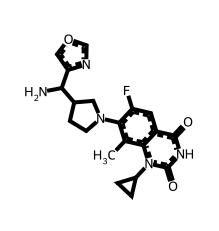 Cc1c(N2CCC(C(N)c3cocn3)C2)c(F)cc2c(=O)[nH]c(=O)n(C3CC3)c12